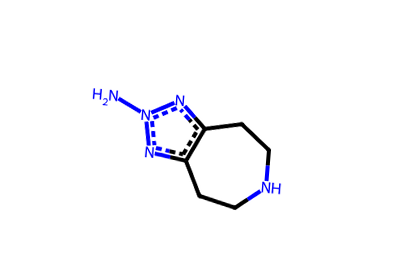 Nn1nc2c(n1)CCNCC2